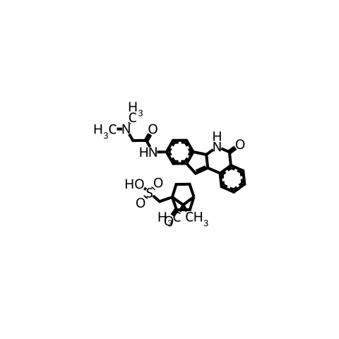 CC1(C)C2CCC1(CS(=O)(=O)O)C(=O)C2.CN(C)CC(=O)Nc1ccc2c(c1)C=C1c3ccccc3C(=O)NC12